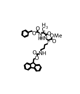 COC(=O)[C@H](CCCCNC(=O)OCC1c2ccccc2-c2ccccc21)NC(=O)[C@H](C)NC(=O)OCc1ccccc1